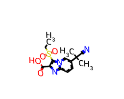 CCS(=O)(=O)c1c(C(=O)O)nc2ccc(C(C)(C)C#N)cn12